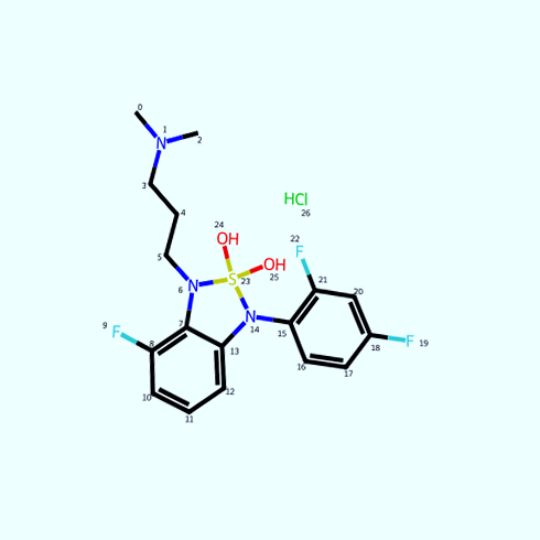 CN(C)CCCN1c2c(F)cccc2N(c2ccc(F)cc2F)S1(O)O.Cl